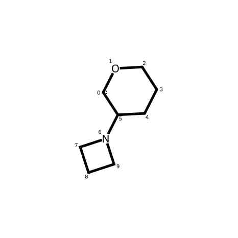 [C]1OCCCC1N1CCC1